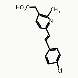 Cc1nc(C=Cc2ccc(Cl)cc2)ccc1CC(=O)O